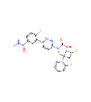 CNC(=O)c1ccc(F)c(-c2ccc(N(CC3(c4ncccc4F)CC(F)C3)C(=O)O)nn2)c1